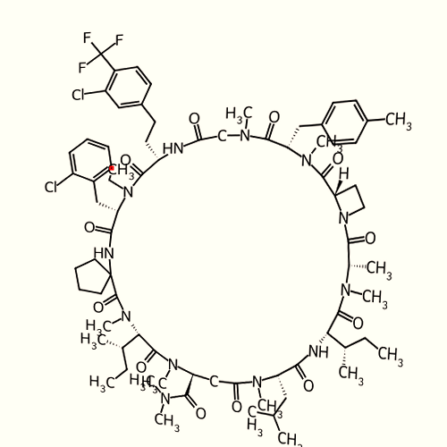 CC[C@H](C)[C@@H]1NC(=O)[C@H](CC(C)C)N(C)C(=O)C[C@@H](C(=O)N(C)C)N(C)C(=O)[C@H]([C@@H](C)CC)N(C)C(=O)C2(CCCC2)NC(=O)[C@H](Cc2ccccc2Cl)N(CC)C(=O)[C@H](CCc2ccc(C(F)(F)F)c(Cl)c2)NC(=O)CN(C)C(=O)[C@H](Cc2ccc(C)cc2)N(C)C(=O)[C@@H]2CCN2C(=O)[C@H](C)N(C)C1=O